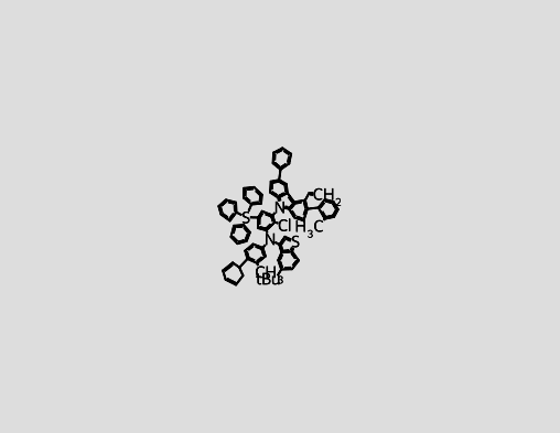 C=Cc1c(-c2ccccc2C)ccc2c1c1cc(-c3ccccc3)ccc1n2-c1cc(S(c2ccccc2)(c2ccccc2)c2ccccc2)cc(N(c2ccc(C3C=CC=CC3)c(C)c2)c2csc3ccc(C(C)(C)C)cc23)c1Cl